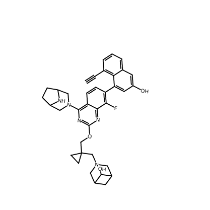 C#Cc1cccc2cc(O)cc(-c3ccc4c(N5CC6CCC(C5)N6)nc(OCC5(CN6CC7CC(C6)C7O)CC5)nc4c3F)c12